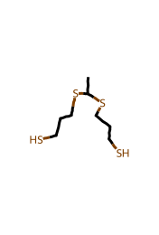 CC(SCCCS)SCCCS